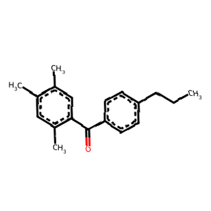 CCCc1ccc(C(=O)c2cc(C)c(C)cc2C)cc1